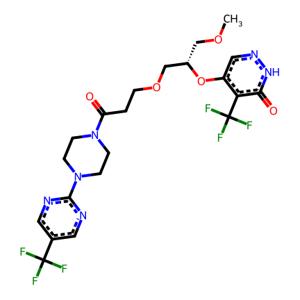 COC[C@@H](COCCC(=O)N1CCN(c2ncc(C(F)(F)F)cn2)CC1)Oc1cn[nH]c(=O)c1C(F)(F)F